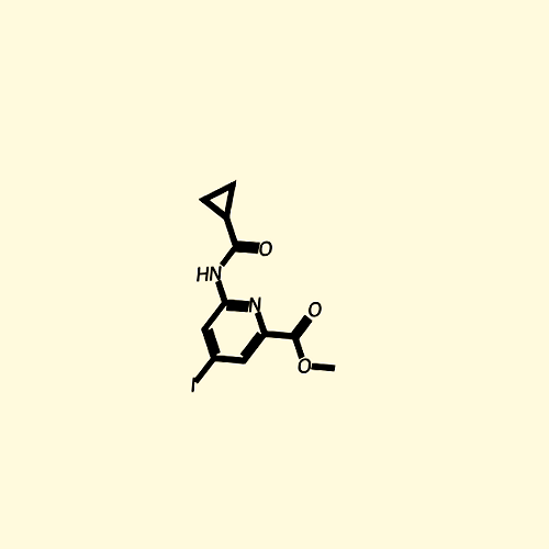 COC(=O)c1cc(I)cc(NC(=O)C2CC2)n1